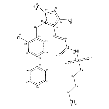 CCCCCS(=O)(=O)NC(=O)/C=C/c1c(Cl)nc(C)n1Cc1ccc(-c2ccccc2)cc1Cl